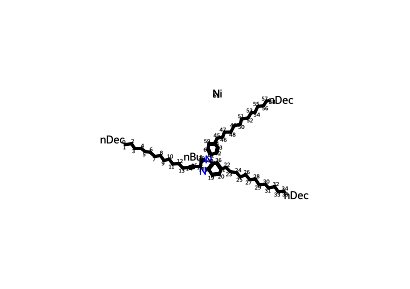 CCCCCCCCCCCCCCCCCCCCCCCC#CC(=Nc1ccc(CCCCCCCCCCCCCCCCCCCCCCC)cc1)C(CCCC)=Nc1ccc(CCCCCCCCCCCCCCCCCCCCCCC)cc1.[Ni]